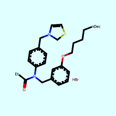 Br.CCCCCCCCCCCCCCOc1cccc(CN(C(=O)CC)c2ccc(CN3C=CSC3)cc2)c1